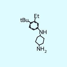 CCc1cc(NC2CCC(N)CC2)ccc1C(C)(C)C